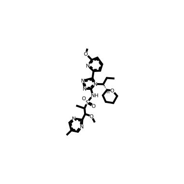 CCC([C@H]1CCCCO1)n1c(NS(=O)(=O)C(C)C(OC)c2ncc(C)cn2)nnc1-c1cccc(OC)n1